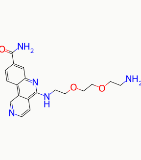 NCCOCCOCCNc1nc2cc(C(N)=O)ccc2c2cnccc12